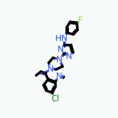 C=Nc1cc(Cl)ccc1/C(=C\C)N1CCN(c2nccc(Nc3ccc(F)cc3)n2)CC1